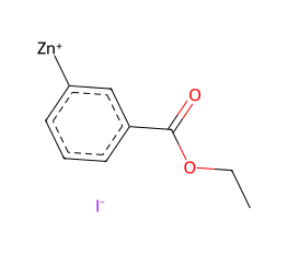 CCOC(=O)c1ccc[c]([Zn+])c1.[I-]